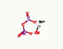 CCO.O=[PH]([O-])O[PH](=O)[O-].[Ba+2]